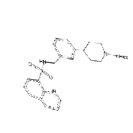 CCCCCCN1CCC(c2cccc(CNS(=O)(=O)c3cccc4cccnc34)c2)CC1